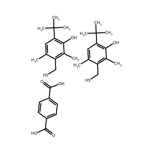 Cc1cc(C(C)(C)C)c(O)c(C)c1CS.Cc1cc(C(C)(C)C)c(O)c(C)c1CS.O=C(O)c1ccc(C(=O)O)cc1